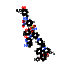 Cc1ccc(O[C@@]2(C)CCN(C3CC4(CCN(c5ccc(C(=O)NS(=O)(=O)c6ccc(NCC7CCC(C)(O)CC7)c([N+](=O)[O-])c6)c(N6c7cc8cc[nH]c8nc7O[C@H]7COCC[C@@H]76)c5)CC4)C3)[C@H](c3ccccc3C(C)C)C2)cc1